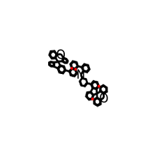 C1=CC(N(c2ccc(-c3ccc4c(c3)C3(c5ccccc5Oc5ccccc53)c3ccccc3-4)cc2)c2ccccc2-c2ccccc2)CC(c2cccc3c2-c2ccccc2C32c3ccccc3Oc3ccccc32)=C1